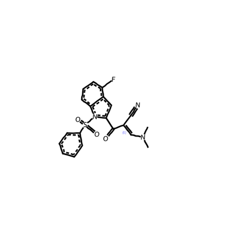 CN(C)/C=C(\C#N)C(=O)c1cc2c(F)cccc2n1S(=O)(=O)c1ccccc1